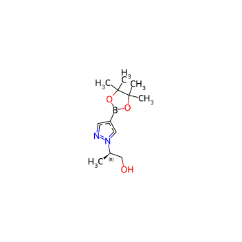 C[C@H](CO)n1cc(B2OC(C)(C)C(C)(C)O2)cn1